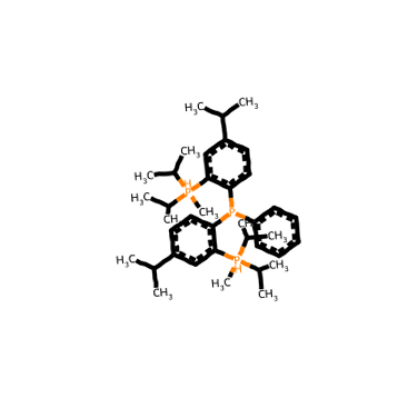 CC(C)c1ccc(P(c2ccccc2)c2ccc(C(C)C)cc2[PH](C)(C(C)C)C(C)C)c([PH](C)(C(C)C)C(C)C)c1